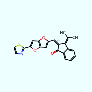 N#CC(C#N)=C1/C(=C/c2cc3oc(-c4nccs4)cc3o2)C(=O)c2ccccc21